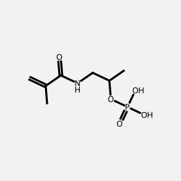 C=C(C)C(=O)NCC(C)OP(=O)(O)O